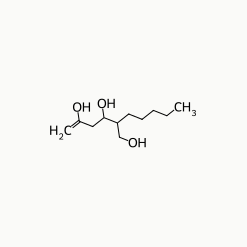 C=C(O)CC(O)C(CO)CCCCC